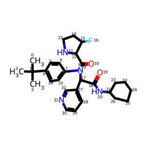 CC(C)(C)c1ccc(N(C(=O)C2NCCC2F)C(C(=O)NC2CCCCC2)c2cccnc2)cc1